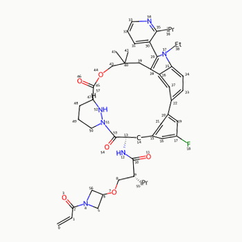 C=CC(=O)N1CC(OC[C@H](C(=O)N[C@H]2Cc3cc(F)cc(c3)-c3ccc4c(c3)c(c(-c3cccnc3C(C)C)n4CC)CC(C)(C)COC(=O)[C@@H]3CCCN(N3)C2=O)C(C)C)C1